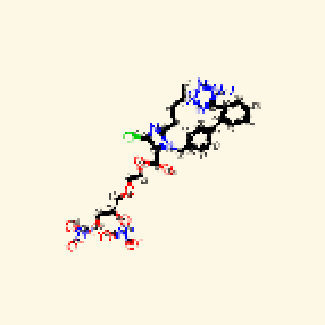 CCCCc1nc(Cl)c(C(=O)OCCOC[C@H](CO[N+](=O)[O-])O[N+](=O)[O-])n1Cc1ccc(-c2ccccc2-c2nnn[nH]2)cc1